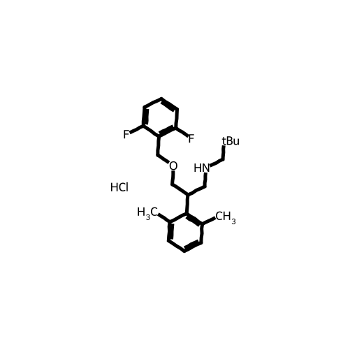 Cc1cccc(C)c1C(CNCC(C)(C)C)COCc1c(F)cccc1F.Cl